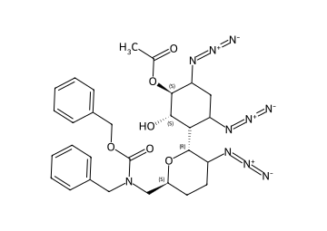 CC(=O)O[C@H]1C(N=[N+]=[N-])CC(N=[N+]=[N-])C([C@H]2O[C@H](CN(Cc3ccccc3)C(=O)OCc3ccccc3)CCC2N=[N+]=[N-])[C@@H]1O